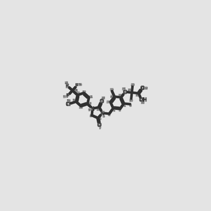 Cc1cc(CN2C(=O)CN(c3ccc(C(F)(F)F)c(Cl)c3)C2=O)cc(C)c1OC(C)(C)C(=O)O